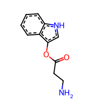 NCCC(=O)Oc1c[nH]c2ccccc12